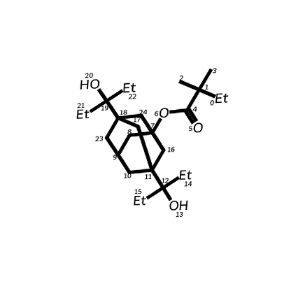 CCC(C)(C)C(=O)OC12CC3CC(C(O)(CC)CC)(C1)CC(C(O)(CC)CC)(C3)C2